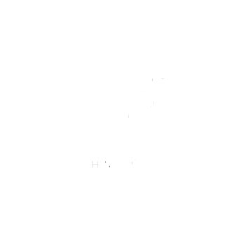 CCc1ccc(C(=O)OF)c(Oc2ccc(N)c(Cl)c2)c1